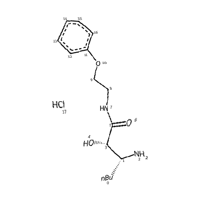 CCCC[C@@H](N)[C@H](O)C(=O)NCCOc1ccccc1.Cl